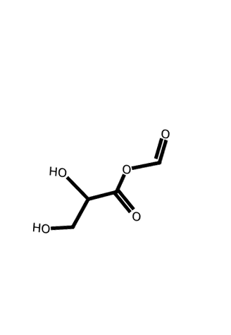 O=COC(=O)C(O)CO